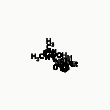 CCNc1cccc(C(=O)NCc2c(O)nn3c(C)cc(C)nc23)c1C